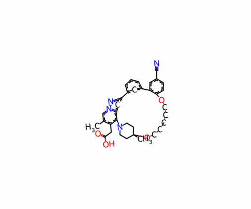 Cc1cn2nc3cc2c(c1CC(=O)O)N1CCC(C)(CC1)OCCCCCOc1ccc(C#N)cc1-c1cccc-3c1